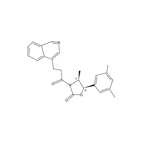 Cc1cc(C)cc([C@H]2OC(=O)N(C(=O)CCc3cncc4ccccc34)[C@H]2C)c1